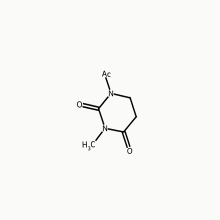 CC(=O)N1CCC(=O)N(C)C1=O